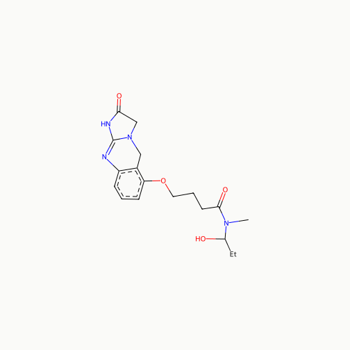 CCC(O)N(C)C(=O)CCCOc1cccc2c1CN1CC(=O)NC1=N2